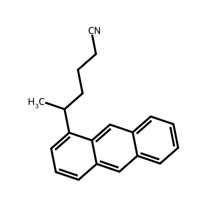 CC(CCCC#N)c1cccc2cc3ccccc3cc12